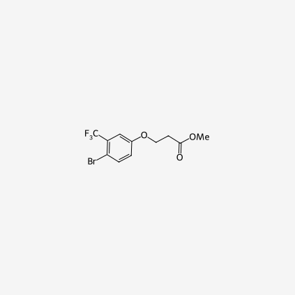 COC(=O)CCOc1ccc(Br)c(C(F)(F)F)c1